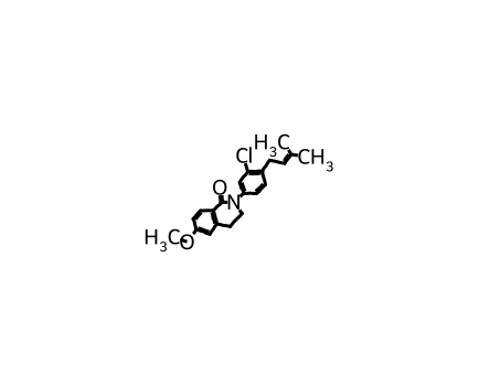 COc1ccc2c(c1)CCN(c1ccc(CC=C(C)C)c(Cl)c1)C2=O